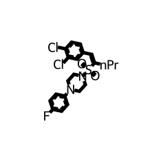 CCCC(=Cc1ccc(Cl)c(Cl)c1)S(=O)(=O)N1CCN(c2ccc(F)cc2)CC1